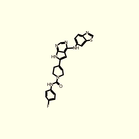 O=C(Nc1ccc(F)cc1)N1CC=C(c2cc3c(Nc4ccc5ncsc5c4)ncnc3[nH]2)CC1